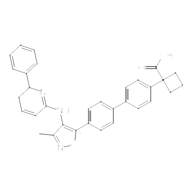 Cc1noc(-c2ccc(-c3ccc(C4(C(=O)O)CCC4)cc3)cc2)c1NC1=NC(c2ccccc2)CC=C1